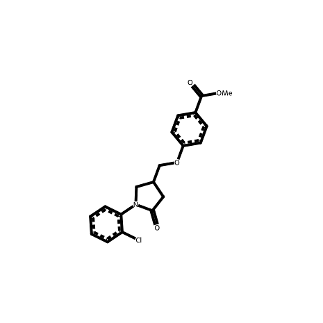 COC(=O)c1ccc(OCC2CC(=O)N(c3ccccc3Cl)C2)cc1